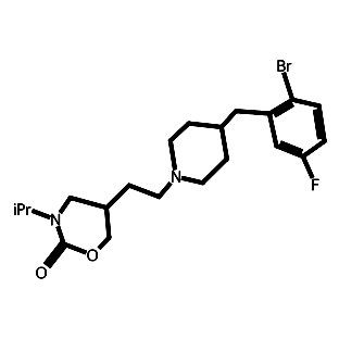 CC(C)N1CC(CCN2CCC(Cc3cc(F)ccc3Br)CC2)COC1=O